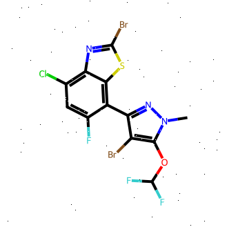 Cn1nc(-c2c(F)cc(Cl)c3nc(Br)sc23)c(Br)c1OC(F)F